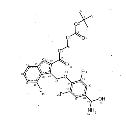 CC(C)(C)OC(=O)OCOC(=O)c1sc2cccc(Cl)c2c1COc1c(F)cc(C(N)O)cc1F